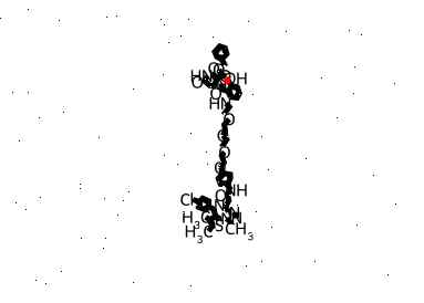 Cc1sc2c(c1C)C(c1ccc(Cl)cc1)=NC(CC(=O)Nc1ccc(OCCOCCOCCOCCNc3cccc4c3C(=O)N(C3(C(=O)OCc5ccccc5)CCC(=O)NC3=O)C4O)cc1)c1nnc(C)n1-2